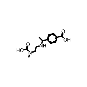 CC(NCCN(C)C(=O)O)c1ccc(C(=O)O)cc1